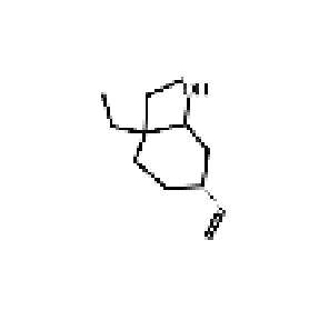 C=C[C@@H]1CCC(CC)(CC)C(O)C1